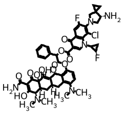 CN(C)c1ccc(OC(=O)C(OC(=O)c2cn(C3C[C@@H]3F)c3c(Cl)c(N4C[C@@H](N)C5(CC5)C4)c(F)cc3c2=O)c2ccccc2)c2c1C[C@@H]1C[C@@H]3[C@@H](N(C)C)C(O)=C(C(N)=O)C(=O)[C@]3(O)C(O)=C1C2=O